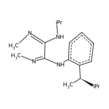 C/N=C(Nc1ccccc1[C@H](C)C(C)C)\C(=N/C)NC(C)C